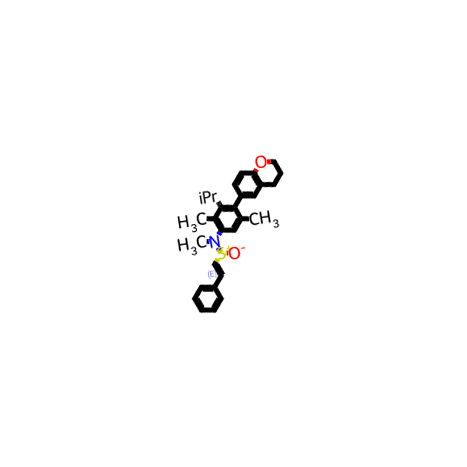 Cc1cc(N(C)[S+]([O-])/C=C/c2ccccc2)c(C)c(C(C)C)c1-c1ccc2c(c1)CCCO2